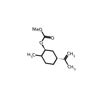 C=C(C)[C@@H]1CCC(C)[C@@H](OC(=O)OC)C1